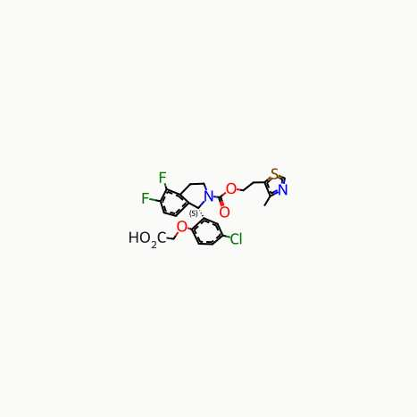 Cc1ncsc1CCOC(=O)N1CCc2c(ccc(F)c2F)[C@H]1c1cc(Cl)ccc1OCC(=O)O